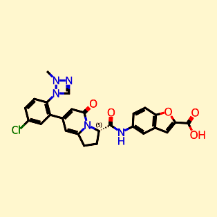 Cn1ncn1-c1ccc(Cl)cc1-c1cc2n(c(=O)c1)[C@H](C(=O)Nc1ccc3oc(C(=O)O)cc3c1)CC2